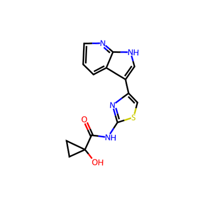 O=C(Nc1nc(-c2c[nH]c3ncccc23)cs1)C1(O)CC1